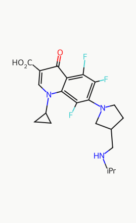 CC(C)NCC1CCN(c2c(F)c(F)c3c(=O)c(C(=O)O)cn(C4CC4)c3c2F)C1